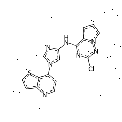 Clc1nc(Nc2cn(-c3ccnc4ccsc34)cn2)c2cccn2n1